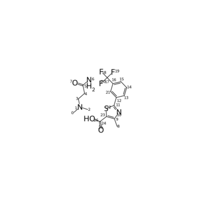 CN(C)CCC(N)=O.Cc1nc(-c2cccc(C(F)(F)F)c2)sc1C(=O)O